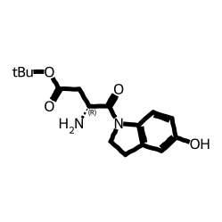 CC(C)(C)OC(=O)C[C@@H](N)C(=O)N1CCc2cc(O)ccc21